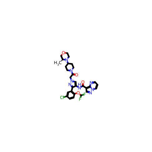 C[C@H]1COCCN1C1CCN(C(=O)Cn2cc(NC(=O)c3cnn4cccnc34)c(-c3cc(Cl)ccc3OC(F)F)n2)CC1